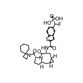 O=C(N[C@H]1C[C@@H]2C[C@@H]2C[C@H]2CC[C@@H](C(=O)N3CCC34CCCCC4)N2C1=O)c1cc2cc(C(F)P(=O)(O)O)ccc2s1